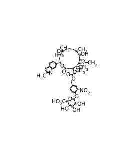 C=CC[C@H]1C(=O)C(C)(C)[C@@H](OC(=O)OCc2ccc(O[C@@H]3O[C@H](C(=O)O)[C@@H](O)[C@H](O)[C@H]3O)c([N+](=O)[O-])c2)CC(=O)O[C@H](c2ccc3sc(C)nc3c2)C[C@@H]2O[C@]2(C)CCC[C@H](C)[C@@H]1O